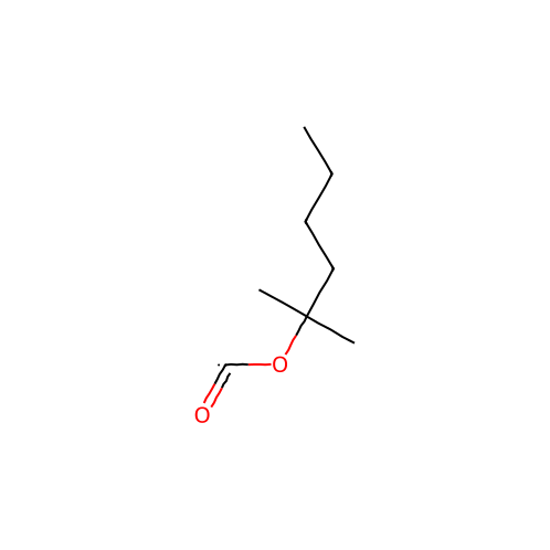 CCCCC(C)(C)O[C]=O